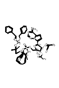 CC(C)C(=O)O[C@H]1[C@H](c2ccc3c(N)ncnn23)O[C@](C#N)(COP(=O)(N[C@@H](C)C(=O)OCC(C)(C)OP(=O)(OCc2ccccc2)OCc2ccccc2)Oc2ccccc2)[C@H]1OC(=O)C(C)C